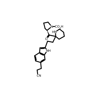 N#CCCc1ccc2cc(CCC3(C(=O)[C@H]4CCCN4C(=O)O)CCCCN3)[nH]c2c1